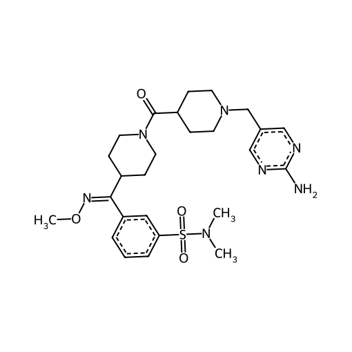 CO/N=C(\c1cccc(S(=O)(=O)N(C)C)c1)C1CCN(C(=O)C2CCN(Cc3cnc(N)nc3)CC2)CC1